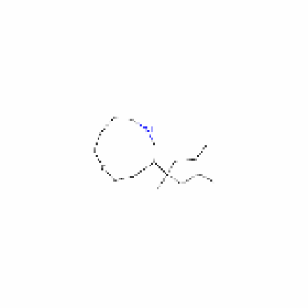 CCCC(C)(CCC)C1CCCCCCCNC1